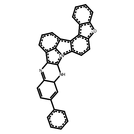 C1=CC2=Nc3c(n4c5ccc6oc7ccccc7c6c5c5cccc3c54)NC2C=C1c1ccccc1